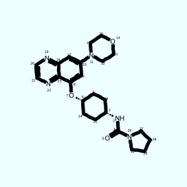 O=C(N[C@H]1CC[C@@H](Oc2cc(N3CCOCC3)cc3nccnc23)CC1)N1CCCC1